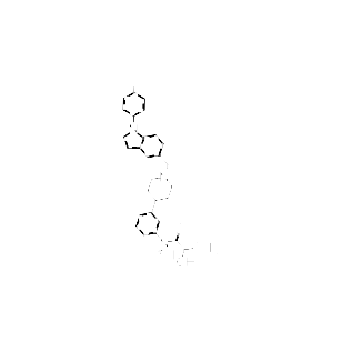 CC(C)C(=O)N(C)c1cccc(C2CCN(Cc3ccc4c(ccn4-c4ccc(F)cc4)c3)CC2)c1